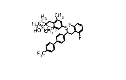 Cc1cc(SC(Cc2c(F)cccc2F)c2ccc(-c3ccc(C(F)(F)F)cc3)cc2)ccc1CC(C)(C)[Si](C)(C)O